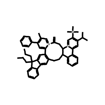 C=C1CC2C(CCc3cc4c(cc3-c3cc(-c5ccccc5)c(C)c[n+]31)C(CCC)(CCC)c1ccccc1-4)c1ccccc1-c1cc(C(C)C)c([Si](C)(C)C)c[n+]12